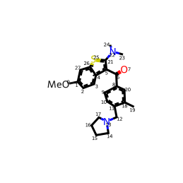 COc1ccc2c(C(=O)c3ccc(CN4CCCC4)c(C)c3)c(N(C)C)sc2c1